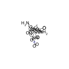 COC(=O)/C=C/C(=O)NC1CCN(C(=O)[C@@H](CCCCN)NC(=O)[C@@H](CC(C)C)NC(=O)[C@@H](Cc2ccccc2)NC(=O)[C@H](N)Cc2ccccc2)CC1